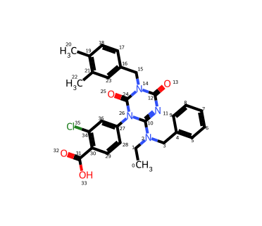 CCN(Cc1ccccc1)c1nc(=O)n(Cc2ccc(C)c(C)c2)c(=O)n1-c1ccc(C(=O)O)c(Cl)c1